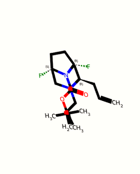 C=CC[C@H]1N(CC=C)C[C@@]2(F)CC[C@]1(F)N2C(=O)OC(C)(C)C